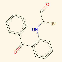 O=CC(Br)Nc1ccccc1C(=O)c1ccccc1